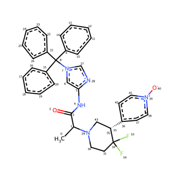 CC(C(=O)Nc1cn(C(c2ccccc2)(c2ccccc2)c2ccccc2)cn1)N1CCC(F)(F)[C@@H](c2cc[n+]([O-])cc2)C1